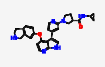 O=C(NC1CC1)C1CCN(c2cc(-c3c[nH]c4nccc(Oc5ccc6c(c5)CNCC6)c34)ccn2)C1